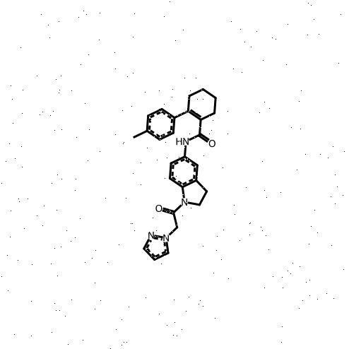 Cc1ccc(C2=C(C(=O)Nc3ccc4c(c3)CCN4C(=O)Cn3cccn3)CCCC2)cc1